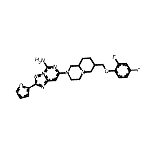 Nc1nc(N2CCN3CC(COc4ccc(F)cc4F)CCC3C2)cc2nc(-c3ccco3)nn12